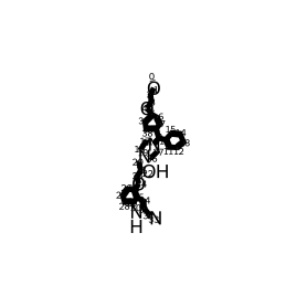 COCCOc1ccc(C(c2ccccc2)N2CCN(CC(O)COc3cccc4[nH]c(C#N)cc34)CC2)cc1